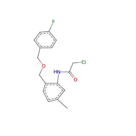 Cc1ccc(COCc2ccc(F)cc2)c(NC(=O)CCl)c1